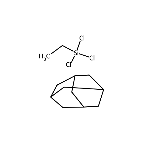 C1C2CC3CC1CC(C2)C3.CC[Si](Cl)(Cl)Cl